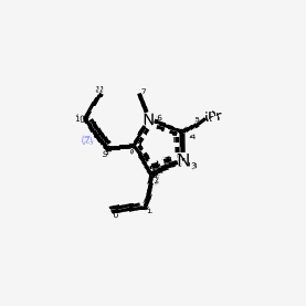 C=Cc1nc(C(C)C)n(C)c1/C=C\C